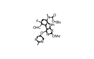 COc1nc(Oc2cnc(C)nc2)c2c(n1)[nH]c1c(N(C)C(=O)OC(C)(C)C)cc(F)c(C=O)c12